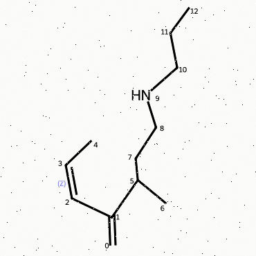 C=C(/C=C\C)C(C)CCNCCC